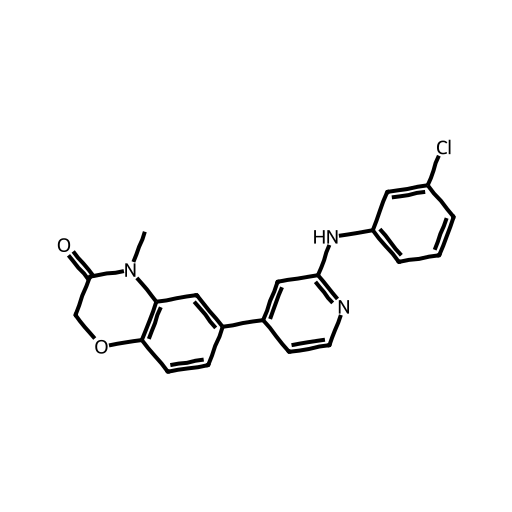 CN1C(=O)COc2ccc(-c3ccnc(Nc4cccc(Cl)c4)c3)cc21